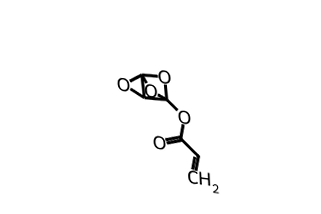 C=CC(=O)OC12OC3(OC13)O2